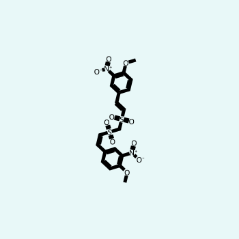 COc1ccc(/C=C\S(=O)(=O)CS(=O)(=O)/C=C/c2ccc(OC)c([N+](=O)[O-])c2)cc1[N+](=O)[O-]